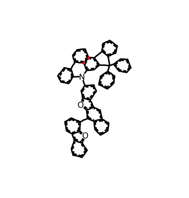 c1ccc(-c2ccccc2N(c2ccc3c(c2)C(c2ccccc2)(c2ccccc2)c2ccccc2-3)c2ccc3c(c2)oc2c(-c4cccc5c4oc4ccccc45)c4ccccc4cc23)cc1